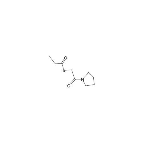 CCC(=O)SCC(=O)N1CCCC1